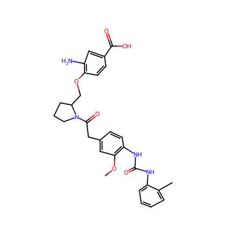 COc1cc(CC(=O)N2CCCC2COc2ccc(C(=O)O)cc2N)ccc1NC(=O)Nc1ccccc1C